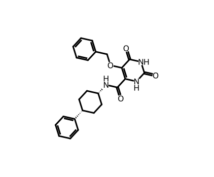 O=C(N[C@H]1CC[C@@H](c2ccccc2)CC1)c1[nH]c(=O)[nH]c(=O)c1OCc1ccccc1